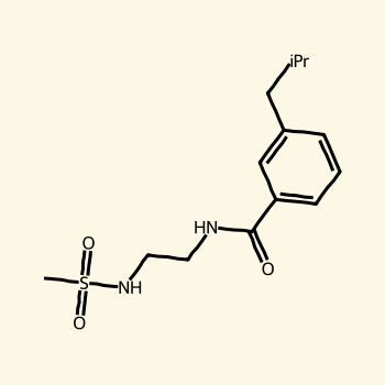 CC(C)Cc1cccc(C(=O)NCCNS(C)(=O)=O)c1